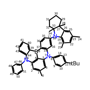 Cc1cc2c3c(c1)N(c1ccc(C(C)(C)C)cc1)c1cc(N4c5c(C)cc(C)cc5C5(C)CCCCC45C)ccc1B3c1ccccc1N2c1ccccc1